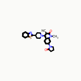 Cn1c(=O)c(C#N)c(N2CCC(c3nc4ccccc4s3)CC2)c2ccc(N3CCCC3=O)cc21